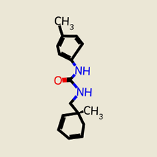 Cc1ccc(NC(=O)NC[C@@]2(C)C=CC=CC2)cc1